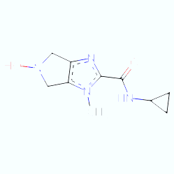 Cn1c(C(=O)NC2CC2)nc2c1CN(O)C2